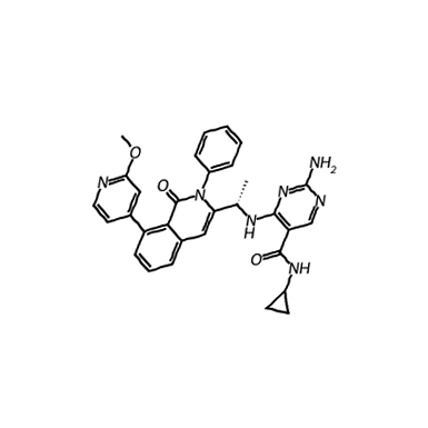 COc1cc(-c2cccc3cc([C@H](C)Nc4nc(N)ncc4C(=O)NC4CC4)n(-c4ccccc4)c(=O)c23)ccn1